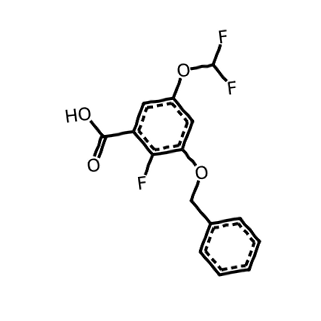 O=C(O)c1cc(OC(F)F)cc(OCc2ccccc2)c1F